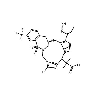 CCN(N=N)c1ccc2c(F)c1C[C@H]1Cc3ccc(C(F)(F)F)cc3S(=O)(=O)N(Cc3cc(sc3Cl)[C@@H]2C(C)(C)C(=O)O)C1